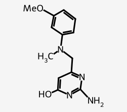 COc1cccc(N(C)Cc2cc(O)nc(N)n2)c1